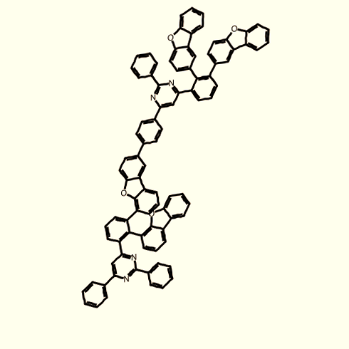 c1ccc(-c2cc(-c3cccc(-c4cccc5c4oc4ccc(-c6ccc(-c7cc(-c8cccc(-c9ccc%10oc%11ccccc%11c%10c9)c8-c8ccc9oc%10ccccc%10c9c8)nc(-c8ccccc8)n7)cc6)cc45)c3-c3cccc4c3oc3ccccc34)nc(-c3ccccc3)n2)cc1